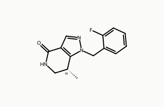 C[C@@H]1CNC(=O)c2cnn(Cc3ccccc3F)c21